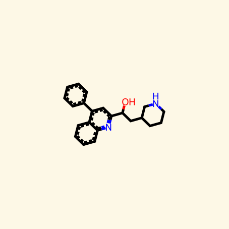 OC(CC1CCCNC1)c1cc(-c2ccccc2)c2ccccc2n1